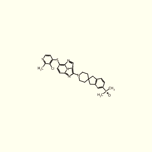 Cc1nccc(Sc2ccc3nc(N4CCC5(CC4)Cc4ccc(P(C)(C)=O)cc4C5)c4cnc2n34)c1Cl